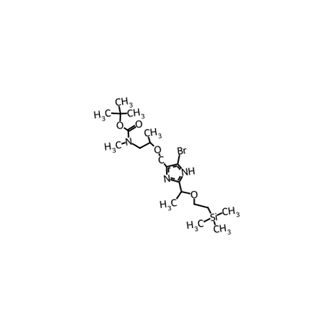 CC(CN(C)C(=O)OC(C)(C)C)OCc1nc(C(C)OCC[Si](C)(C)C)[nH]c1Br